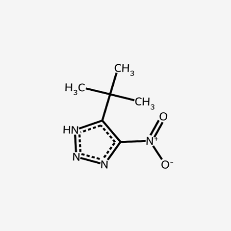 CC(C)(C)c1[nH]nnc1[N+](=O)[O-]